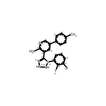 Cc1ccc(-c2cnc(N)c(C3=NNNN3c3cccc(F)c3F)c2)cc1